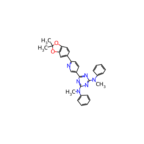 CN(c1ccccc1)c1nc(-c2ccc(-c3ccc4c(c3)OC(C)(C)O4)nc2)nc(N(C)c2ccccc2)n1